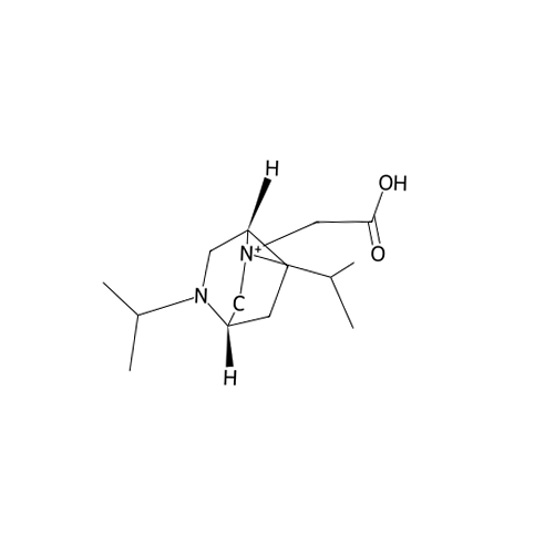 CC(C)N1C[C@@H]2CC[C@H]1C[N+]2(CC(=O)O)C(C)C